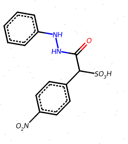 O=C(NNc1ccccc1)C(c1ccc([N+](=O)[O-])cc1)S(=O)(=O)O